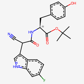 CC(C)(C)OC(=O)[C@H](Cc1ccc(O)cc1)NC(=O)C(C#N)c1c[nH]c2cc(F)ccc12